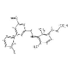 COc1cc(CNc2c(C)ccc(OCC(=O)O)c2C)cc(-c2cccc(F)c2)c1